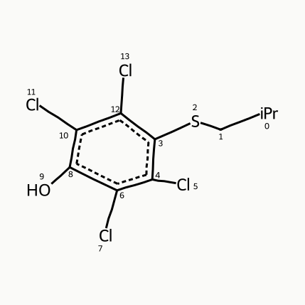 CC(C)CSc1c(Cl)c(Cl)c(O)c(Cl)c1Cl